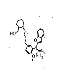 CN=C(N)N(c1cc2ccccc2o1)c1cc(CCCCN2CCCCC2CO)ccc1OC